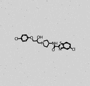 O=C(NC1CCN(CC(O)COc2ccc(Cl)cc2)CC1)c1nc2cc(Cl)ccc2s1